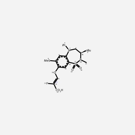 CCCC[C@@H]1CN(C(C)C)c2cc(SC)c(O/C=C(\F)C(=O)O)cc2S(=O)(=O)N1C